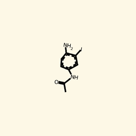 CC(=O)Nc1ccc(N)c(I)c1